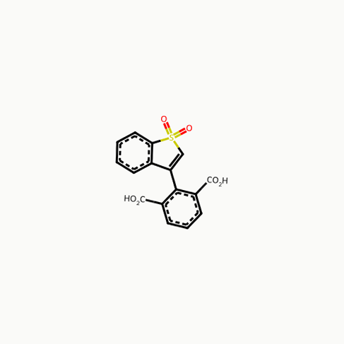 O=C(O)c1cccc(C(=O)O)c1C1=CS(=O)(=O)c2ccccc21